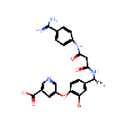 CC(NC(=O)CC(=O)Nc1ccc(C(=N)N)cc1)c1ccc(Oc2cncc(C(=O)O)c2)c(Br)c1